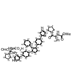 COC(=O)N[C@H](C(=O)N1CCC[C@H]1c1nc(-c2ccc(-c3ccc(-c4ccc(-c5c[nH]c([C@@H]6CCCN6[C@@](C=O)(NC(=O)O)C(C)C)n5)cc4)n3-c3ccccc3)cc2)c[nH]1)C(C)C